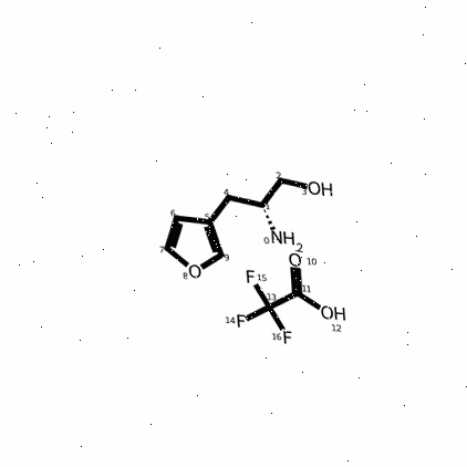 N[C@@H](CO)Cc1ccoc1.O=C(O)C(F)(F)F